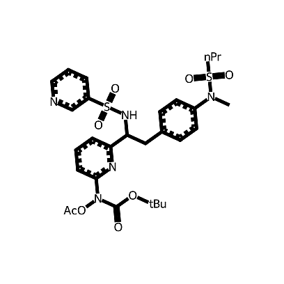 CCCS(=O)(=O)N(C)c1ccc(CC(NS(=O)(=O)c2cccnc2)c2cccc(N(OC(C)=O)C(=O)OC(C)(C)C)n2)cc1